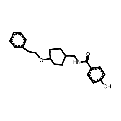 O=C(NCC1CCC(OCCc2ccccc2)CC1)c1ccc(O)cc1